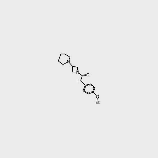 CCOc1ccc(NC(=O)N2CC(N3CCCCC3)C2)cc1